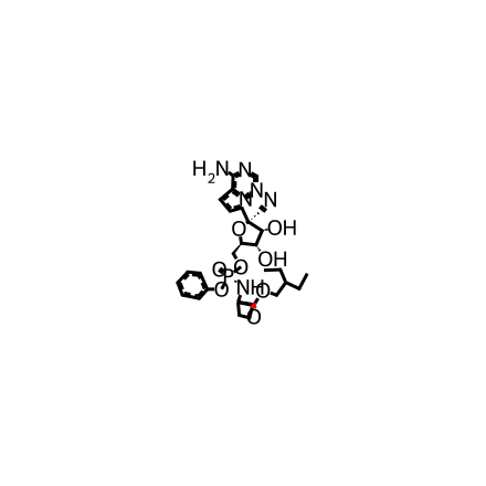 CCC(CC)COC(=O)C1(N[P@](=O)(OC[C@H]2O[C@@](C#N)(c3ccc4c(N)ncnn34)[C@H](O)[C@@H]2O)Oc2ccccc2)CCC1